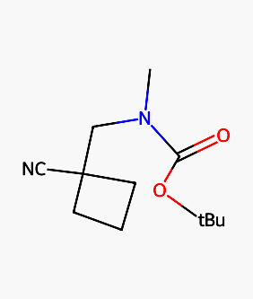 CN(CC1(C#N)CCC1)C(=O)OC(C)(C)C